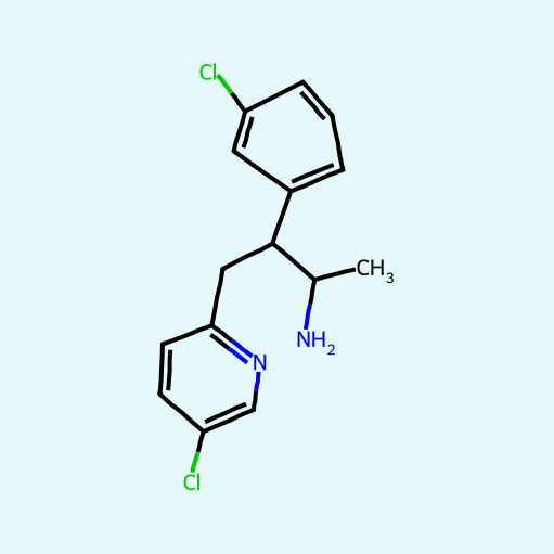 CC(N)C(Cc1ccc(Cl)cn1)c1cccc(Cl)c1